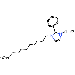 CCCCCCCCCCCCCCCCCCCN1C=CN(CCCCCC)C1c1ccccc1